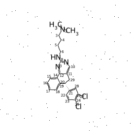 CN(C)CCCCNc1ncc2c(n1)-c1ccccc1[C@@H](c1ccc(Cl)c(Cl)c1)C2